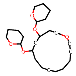 C1CCCCC(OC2CCCCO2)CC(OC2CCCCO2)CCOCCC1